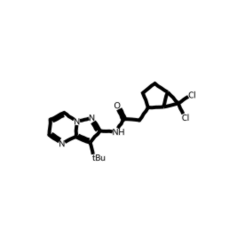 CC(C)(C)c1c(NC(=O)CC2CCC3C2C3(Cl)Cl)nn2cccnc12